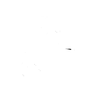 Cc1ccc(F)cc1NC(=O)c1cc(F)c(-n2nc3n(c2=O)CCCC3)cc1O[C@@H](C)C1CCCCC1